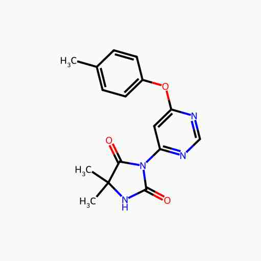 Cc1ccc(Oc2cc(N3C(=O)NC(C)(C)C3=O)ncn2)cc1